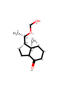 C[C@H](OCO)[C@H]1CCC2C(=O)CCC[C@@]21C